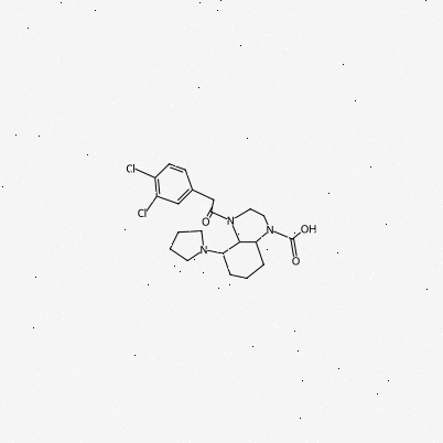 O=C(O)N1CCN(C(=O)Cc2ccc(Cl)c(Cl)c2)C2C(N3CCCC3)CCCC21